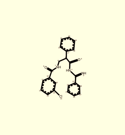 N=C(NC(=O)C(CNC(=O)c1cccc(Cl)c1)c1ccccc1)c1ccccc1